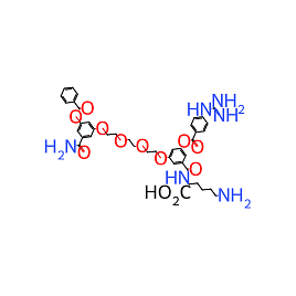 N=C(N)Nc1ccc(C(=O)Oc2cc(OCCOCCOCCOc3cc(OC(=O)c4ccccc4)cc(C(N)=O)c3)cc(C(=O)N[C@H](CCCCN)C(=O)O)c2)cc1